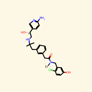 CCN(Cc1cc(O)ccc1Cl)C(=O)Cc1cccc(CC(C)(C)NC[C@H](O)c2ccc(N)nc2)c1